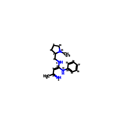 CC(=N)/C=C(/NCC1CCCN1C)Nc1ccccc1